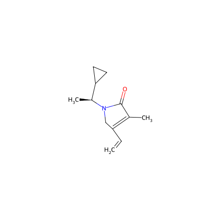 C=CC1=C(C)C(=O)N([C@@H](C)C2CC2)C1